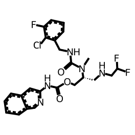 CN(C(=O)NCc1cccc(F)c1Cl)[C@H](CNCC(F)F)COC(=O)Nc1cc2ccccc2cn1